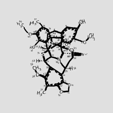 COc1cc2c(cc1O)CCN[C@]21CS[C@@H]2c3c(OC)c(C)c4c(c3[C@H](COC1=O)N1C2[C@@H]2c3c(cc(C)c(OC)c3O)C[C@@H]([C@@H]1C#N)N2C)OCO4